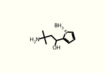 B.CC(C)(N)CC(O)c1cccs1